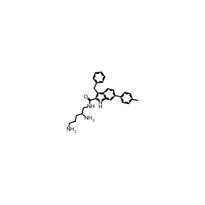 Cc1ccc(-c2ccc3c(Cc4ccccc4)c(C(=O)NC[C@@H](N)CCCN)[nH]c3c2)cc1